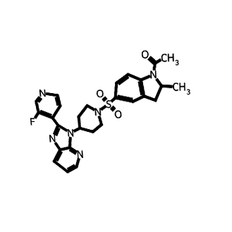 CC(=O)N1c2ccc(S(=O)(=O)N3CCC(n4c(-c5ccncc5F)nc5cccnc54)CC3)cc2CC1C